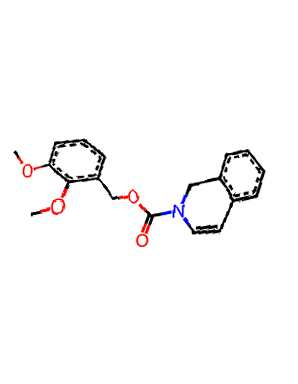 COc1cccc(COC(=O)N2C=Cc3ccccc3C2)c1OC